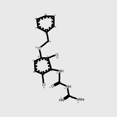 CNC(=N)NC(=O)Nc1c(Cl)ccc(OCc2ccccc2)c1Cl